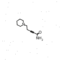 NC(=O)C#CCCN1CCCCC1